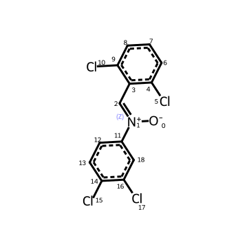 [O-]/[N+](=C\c1c(Cl)cccc1Cl)c1ccc(Cl)c(Cl)c1